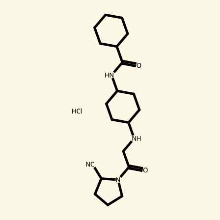 Cl.N#CC1CCCN1C(=O)CNC1CCC(NC(=O)C2CCCCC2)CC1